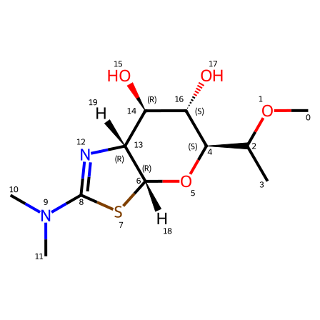 COC(C)[C@H]1O[C@@H]2SC(N(C)C)=N[C@@H]2[C@@H](O)[C@@H]1O